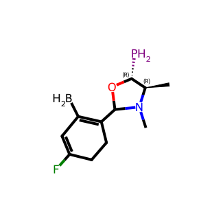 BC1=C(C2O[C@H](P)[C@@H](C)N2C)CCC(F)=C1